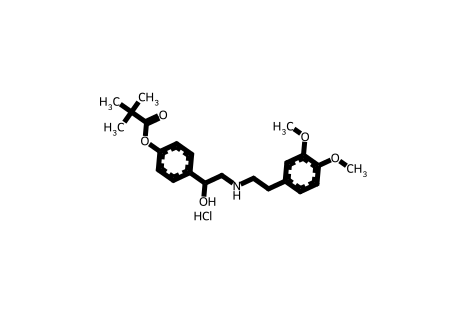 COc1ccc(CCNCC(O)c2ccc(OC(=O)C(C)(C)C)cc2)cc1OC.Cl